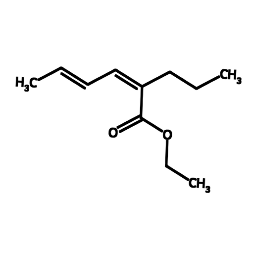 CC=CC=C(CCC)C(=O)OCC